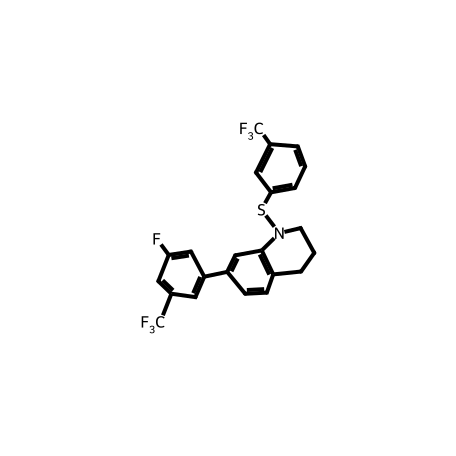 Fc1cc(-c2ccc3c(c2)N(Sc2cccc(C(F)(F)F)c2)CCC3)cc(C(F)(F)F)c1